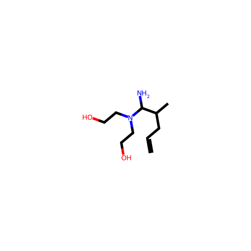 C=CCC(C)C(N)N(CCO)CCO